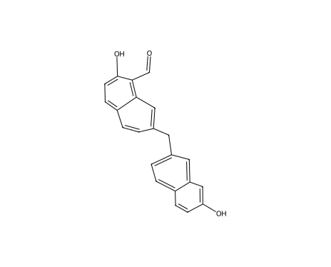 O=Cc1c(O)ccc2ccc(Cc3ccc4ccc(O)cc4c3)cc12